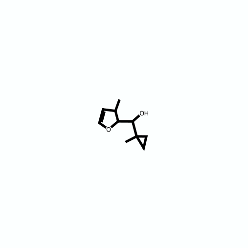 CC1C=COC1C(O)C1(C)CC1